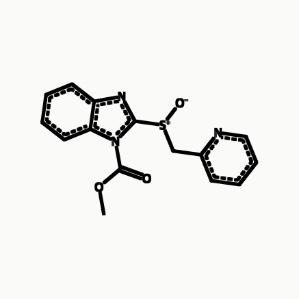 COC(=O)n1c([S+]([O-])Cc2ccccn2)nc2ccccc21